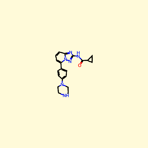 O=C(Nc1nc2cccc(-c3ccc(N4CCNCC4)cc3)n2n1)C1CC1